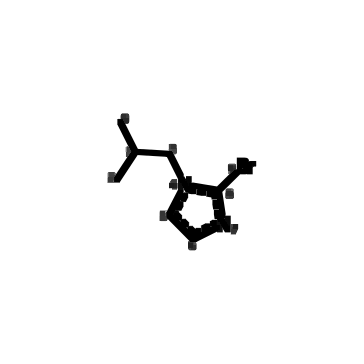 CC(C)Cn1ccnc1Br